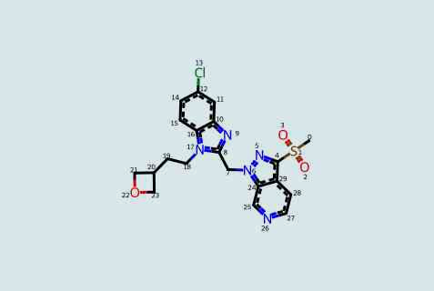 CS(=O)(=O)c1nn(Cc2nc3cc(Cl)ccc3n2CCC2COC2)c2cnccc12